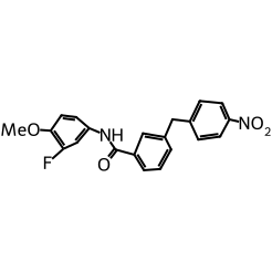 COc1ccc(NC(=O)c2cccc(Cc3ccc([N+](=O)[O-])cc3)c2)cc1F